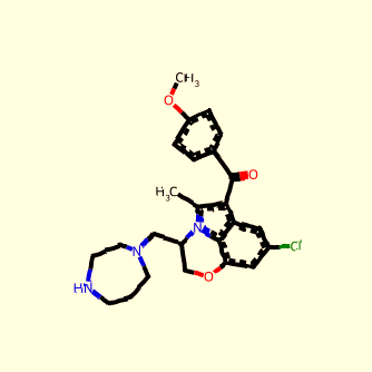 COc1ccc(C(=O)c2c(C)n3c4c(cc(Cl)cc24)OCC3CN2CCCNCC2)cc1